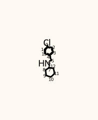 Clc1ccc(CNC2CCCCC2)cc1